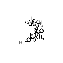 C#CCC(COP(NC(C)C(=O)OC1CCC(C)CC1)Oc1ccccc1)OC(C)n1ccc(=O)[nH]c1=O